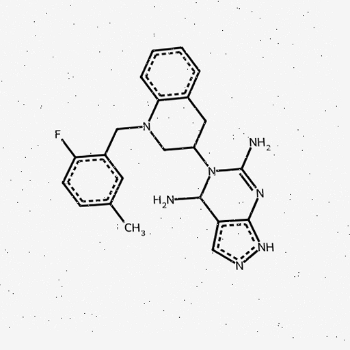 Cc1ccc(F)c(CN2CC(N3C(N)=Nc4[nH]ncc4C3N)Cc3ccccc32)c1